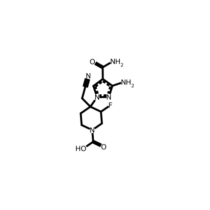 N#CCC1(n2cc(C(N)=O)c(N)n2)CCN(C(=O)O)CC1F